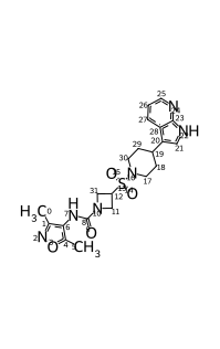 Cc1noc(C)c1NC(=O)N1CC(S(=O)(=O)N2CCC(c3c[nH]c4ncccc34)CC2)C1